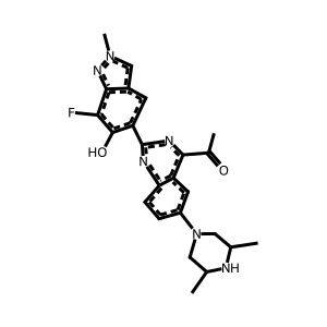 CC(=O)c1nc(-c2cc3cn(C)nc3c(F)c2O)nc2ccc(N3CC(C)NC(C)C3)cc12